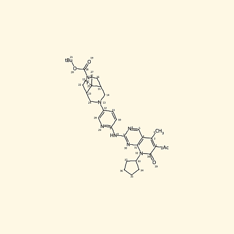 CC(=O)c1c(C)c2cnc(Nc3ccc(N4CC5CN(C(=O)OC(C)(C)C)CC(C4)C5(F)F)cn3)nc2n(C2CCCC2)c1=O